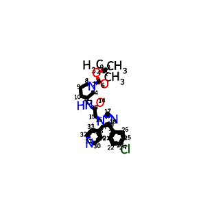 CC(C)(C)OC(=O)N1CCC[C@H](NC(=O)Cn2cnc(-c3ccc(Cl)cc3)c2-c2ccncc2)C1